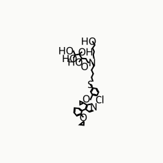 O=C(CC(O)C(O)C(O)CO)N(CCCCCO)CCCCCSc1ccc(Cl)c(COC2(c3cnccc3-c3ccccc3OC3CC3)CC2)c1